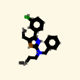 CC(C)Cc1sc(N(CCC(=O)O)Cc2ccccc2)nc1-c1cccc(Cl)c1